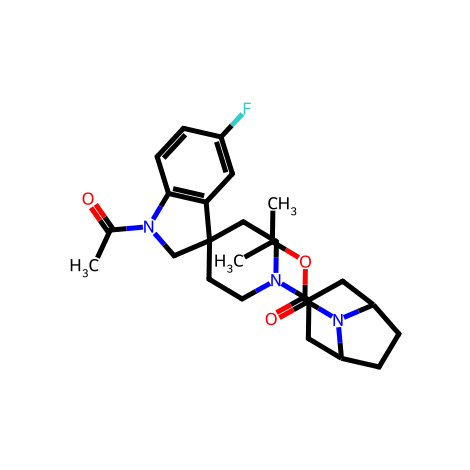 CC(=O)N1CC2(CCN(C3CC4CCC(C3)N4C(=O)OC(C)C)CC2)c2cc(F)ccc21